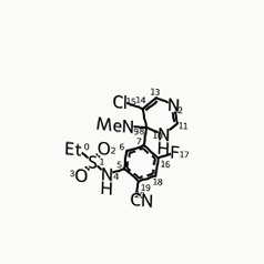 CCS(=O)(=O)Nc1cc(C2(NC)NC=NC=C2Cl)c(F)cc1C#N